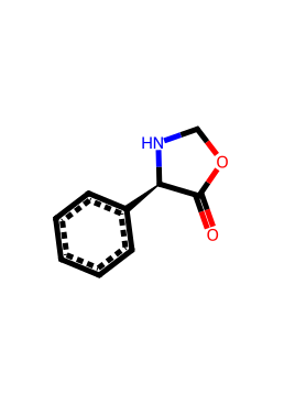 O=C1OCN[C@@H]1c1ccccc1